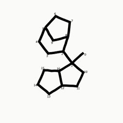 CC1(C2CCC3CCC2C3)CCC2CCCC21